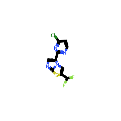 FC(F)c1cn2c(-c3nccc(Cl)n3)cnc2s1